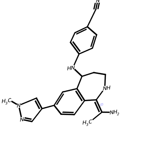 C/C(N)=C1/NCCC(Nc2ccc(C#N)cc2)c2cc(-c3cnn(C)c3)ccc21